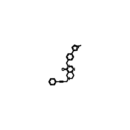 Cn1ccc(-c2ccc(Cn3cnc4c(c3=O)CN(CC#Cc3ccccc3)CC4)cc2)c1